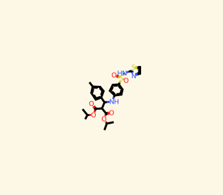 Cc1ccc(C(Nc2ccc(S(=O)(=O)Nc3nccs3)cc2)C(C(=O)OC(C)C)C(=O)OC(C)C)cc1